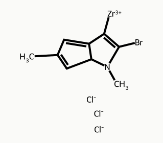 CC1=CC2C(=C1)[C]([Zr+3])=C(Br)N2C.[Cl-].[Cl-].[Cl-]